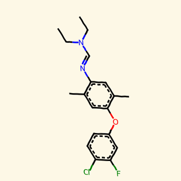 CCN(C=Nc1cc(C)c(Oc2ccc(Cl)c(F)c2)cc1C)CC